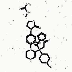 CC(=O)NC[C@H]1CN(c2ccc(N3CCNCC3S(CC=O)(C(=O)c3cccs3)N3CCN(C)CC3)c(F)c2)C(=O)O1